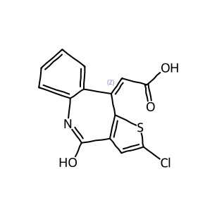 O=C(O)/C=C1/c2ccccc2N=C(O)c2cc(Cl)sc21